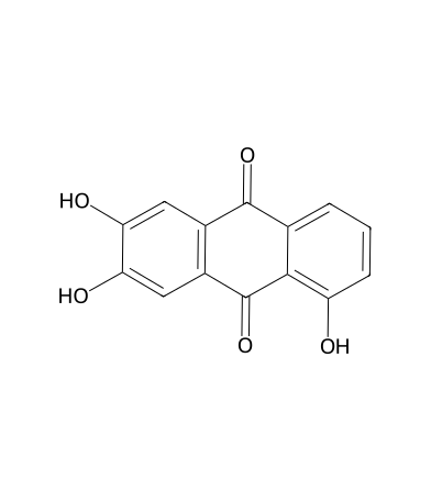 O=C1c2cc(O)c(O)cc2C(=O)c2c(O)cccc21